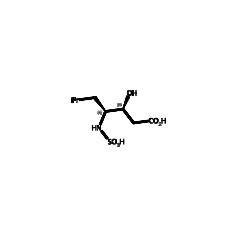 CC(C)C[C@H](NS(=O)(=O)O)[C@@H](O)CC(=O)O